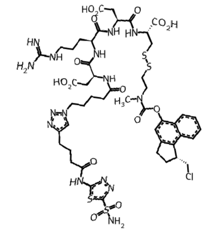 CN(CCSSC[C@H](NC(=O)[C@H](CC(=O)O)NC(=O)[C@H](CCCNC(=N)N)NC(=O)[C@H](CC(=O)O)NC(=O)CCCCn1cc(CCCC(=O)Nc2nnc(S(N)(=O)=O)s2)nn1)C(=O)O)C(=O)Oc1cc2c(c3ccccc13)[C@H](CCl)CC2